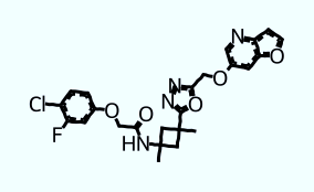 CC1(NC(=O)COc2ccc(Cl)c(F)c2)CC(C)(c2nnc(COc3cnc4ccoc4c3)o2)C1